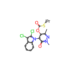 Cc1nn(C)c(=O)c(-n2c(Cl)c(Cl)c3ccccc32)c1OC(=O)SC(C)C